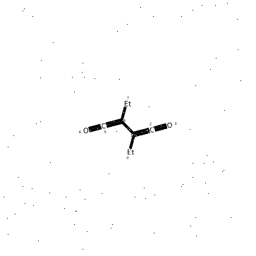 CCC(=C=O)C(=C=O)CC